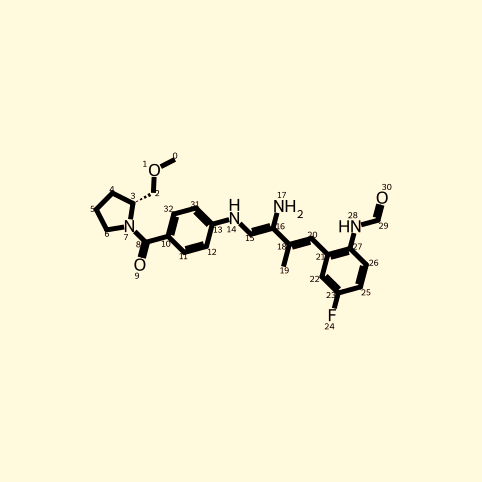 COC[C@H]1CCCN1C(=O)c1ccc(N/C=C(N)/C(C)=C/c2cc(F)ccc2NC=O)cc1